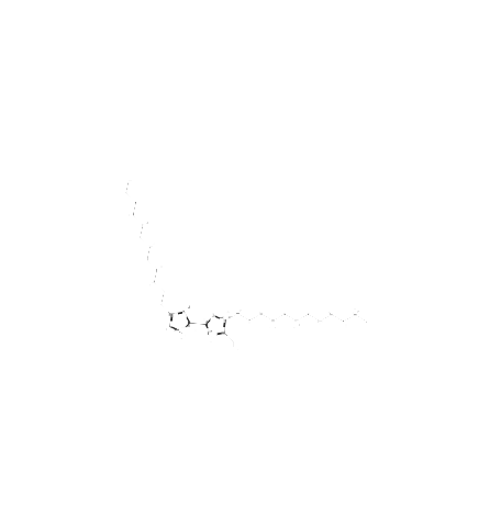 CCCCCCCCCCCCc1csc(-c2cc(CCCCCCCCCCCC)c(C)s2)c1